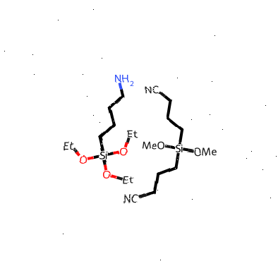 CCO[Si](CCCCN)(OCC)OCC.CO[Si](CCCC#N)(CCCC#N)OC